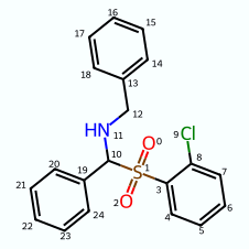 O=S(=O)(c1ccccc1Cl)C(NCc1ccccc1)c1ccccc1